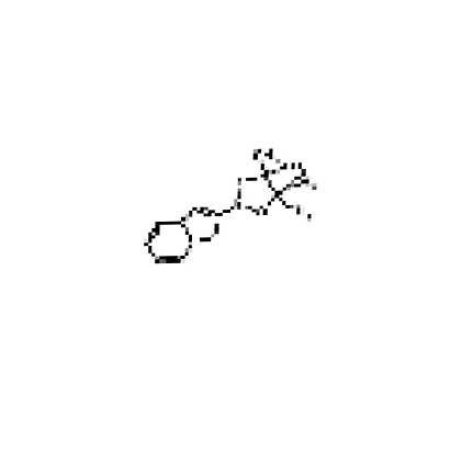 CC1(C)OB(C2=CC3C=CC=CC3S2)OC1(C)C